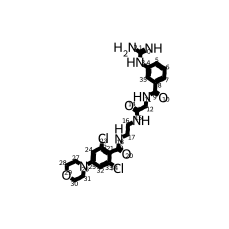 N=C(N)Nc1cccc(C(=O)NCC(=O)NCCNC(=O)c2c(Cl)cc(N3CCOCC3)cc2Cl)c1